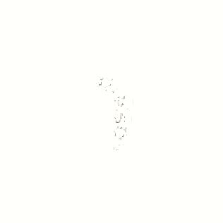 CC1(NC(=O)COc2ccc(Cl)c(F)c2)CC(NC(=O)c2ccc(CO)cn2)C1